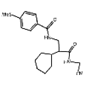 CSc1ccc(C(=O)NCC(C(=O)NCC#N)C2CCCCC2)cc1